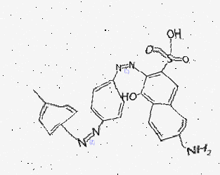 Cc1ccc(/N=N\c2ccc(/N=N\c3c(S(=O)(=O)O)cc4cc(N)ccc4c3O)cc2)cc1